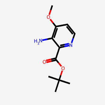 COc1ccnc(C(=O)OC(C)(C)C)c1N